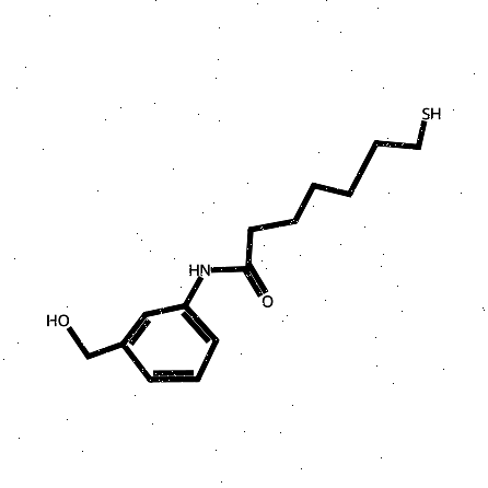 O=C(CCCCCCS)Nc1cccc(CO)c1